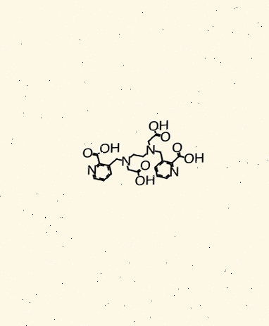 O=C(O)CN(CCN(CC(=O)O)Cc1cccnc1C(=O)O)Cc1cccnc1C(=O)O